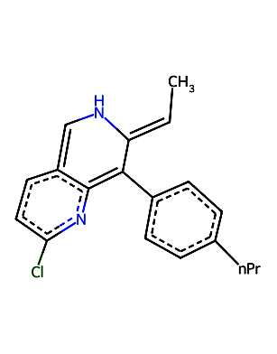 C/C=C1\NC=c2ccc(Cl)nc2=C1c1ccc(CCC)cc1